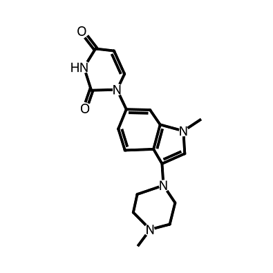 CN1CCN(c2cn(C)c3cc(-n4ccc(=O)[nH]c4=O)ccc23)CC1